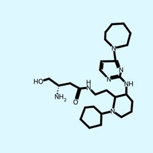 N[C@H](CO)CC(=O)NCCC1C(Nc2nccc(N3CCCCCC3)n2)CCCN1C1CCCCC1